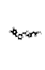 CC(=O)N(C[C@@H]1CN(Cc2ccc(Cl)c(Cl)c2)CCO1)Sc1nc(CC(N)=O)cs1